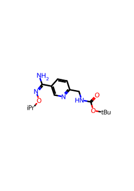 CC(C)O/N=C(/N)c1ccc(CNC(=O)OC(C)(C)C)nc1